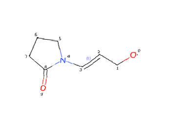 [O]C/C=C/N1CCCC1=O